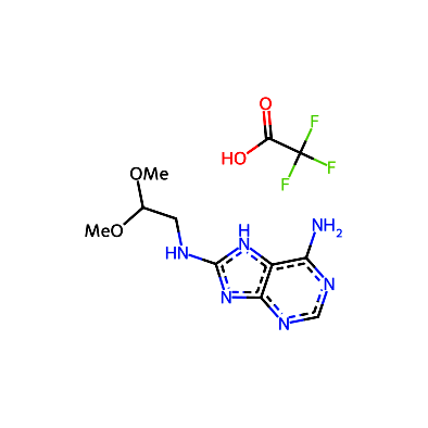 COC(CNc1nc2ncnc(N)c2[nH]1)OC.O=C(O)C(F)(F)F